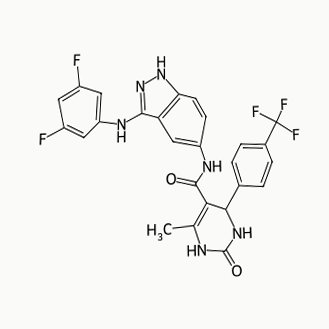 CC1=C(C(=O)Nc2ccc3[nH]nc(Nc4cc(F)cc(F)c4)c3c2)C(c2ccc(C(F)(F)F)cc2)NC(=O)N1